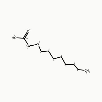 CCCCCCCC[S][Sn][C](=O)O